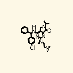 CC(C)N1Cc2c(NC(c3ccccc3)c3ccc(Cl)cc3)nc(N(C)CCN(C)C)nc2C1=O